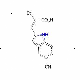 CCC(=Cc1cc2cc(C#N)ccc2[nH]1)C(=O)O